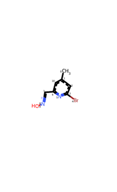 Cc1cc(Br)nc(/C=N/O)c1